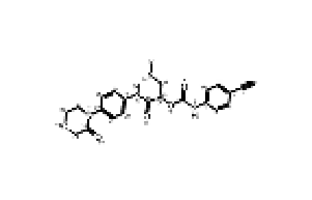 C#Cc1ccc(NC(=O)O[C@H](CSC)C(=O)Nc2ccc(N3CCOCC3=O)cc2)cc1